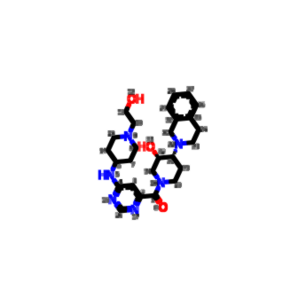 O=C(c1cc(NC2CCN(CCO)CC2)ncn1)N1CC[C@@H](N2CCc3ccccc3C2)[C@H](O)C1